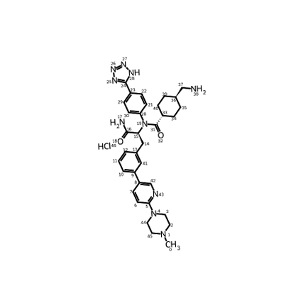 CN1CCN(c2ccc(-c3cccc(C[C@@H](C(N)=O)N(c4ccc(-c5nnn[nH]5)cc4)C(=O)[C@H]4CC[C@H](CN)CC4)c3)cn2)CC1.Cl